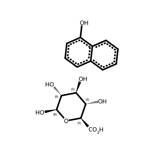 O=C(O)[C@H]1O[C@@H](O)[C@H](O)[C@@H](O)[C@@H]1O.Oc1cccc2ccccc12